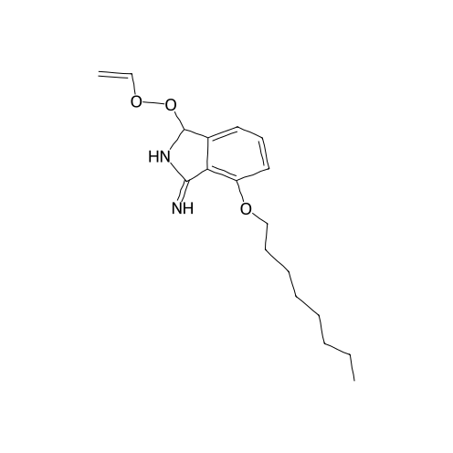 C=COOC1NC(=N)c2c(OCCCCCCCC)cccc21